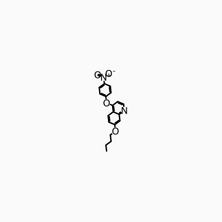 CCCCOc1ccc2c(Oc3ccc([N+](=O)[O-])cc3)ccnc2c1